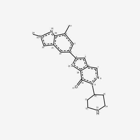 Cc1cc(-c2cc3cnn(C4CCNCC4)c(=O)c3s2)cc2cn(C)nc12